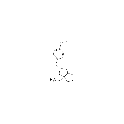 COc1ccc(C[C@@H]2CN3CCC[C@@]3(CN)C2)cc1